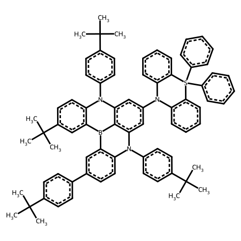 CC(C)(C)c1ccc(-c2ccc3c(c2)B2c4cc(C(C)(C)C)ccc4N(c4ccc(C(C)(C)C)cc4)c4cc(N5c6ccccc6S(c6ccccc6)(c6ccccc6)c6ccccc65)cc(c42)N3c2ccc(C(C)(C)C)cc2)cc1